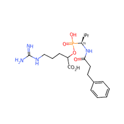 CC(C)[C@@H](NC(=O)CCc1ccccc1)P(=O)(O)OC(CCCNC(=N)N)C(=O)O